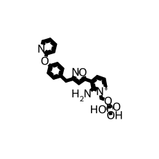 Nc1c(-c2cc(Cc3ccc(Oc4ccccn4)cc3)no2)ccc[n+]1COP(=O)(O)O